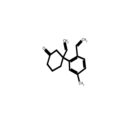 C=Cc1ccc(C)cc1C1(C=C)CCCC(=O)C1